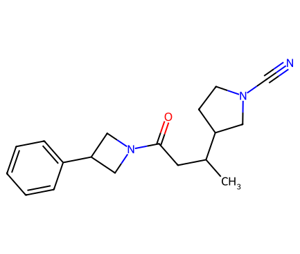 CC(CC(=O)N1CC(c2ccccc2)C1)C1CCN(C#N)C1